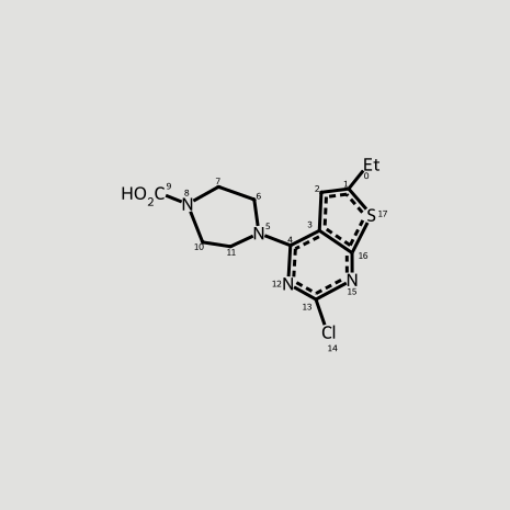 CCc1cc2c(N3CCN(C(=O)O)CC3)nc(Cl)nc2s1